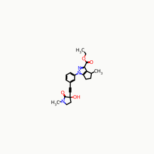 CCOC(=O)c1nn(-c2cccc(C#CC3(O)CCN(C)C3=O)c2)c2c1C(C)CC2